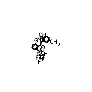 Cc1ccc2c(c1)c(C(=O)c1ccccc1C(=O)OC(C(F)(F)F)C(F)(F)F)[n+]([O-])n2C